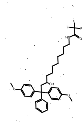 COc1ccc(C(CC(O)CCCCCCCCNC(=O)C(F)(F)F)(c2ccccc2)c2ccc(OC)cc2)cc1